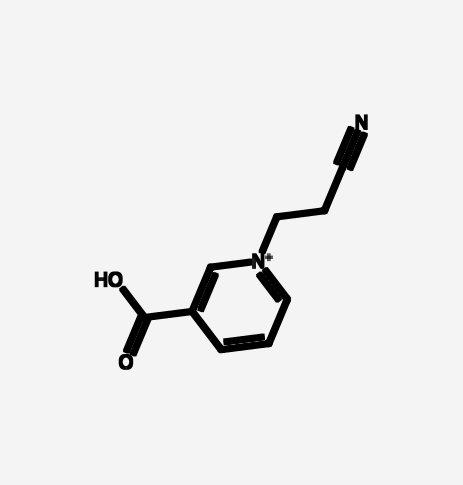 N#CCC[n+]1cccc(C(=O)O)c1